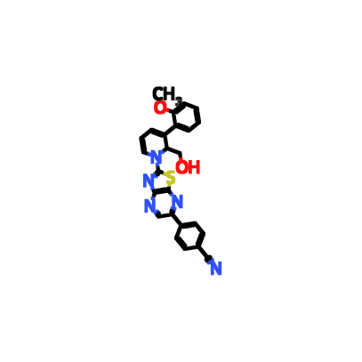 COc1ccccc1C1=CC=CN(c2nc3ncc(-c4ccc(C#N)cc4)nc3s2)C1CO